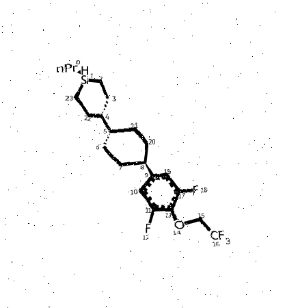 CCC[Si@H]1CC[C@H]([C@H]2CC[C@H](c3cc(F)c(OCC(F)(F)F)c(F)c3)CC2)CC1